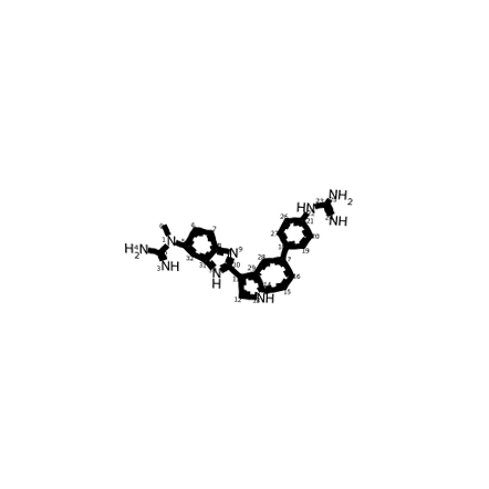 CN(C(=N)N)c1ccc2nc(-c3c[nH]c4ccc(-c5ccc(NC(=N)N)cc5)cc34)[nH]c2c1